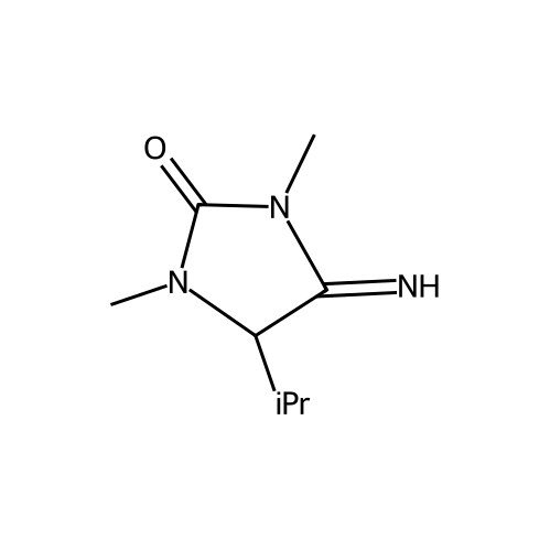 CC(C)C1C(=N)N(C)C(=O)N1C